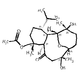 CC(=O)O[C@]1(C)CC[C@H](C(C)C)[C@@H]2[C@H]1C(=O)C[C@@](C)(O)[C@H]1CC[C@@](C)(O)[C@@H]2O1